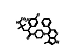 Cc1c[nH]c2ncc(-c3ccccc3)c(N3CCN(C(=O)C(CC(C)(C)NC(=O)O)c4ccc(Cl)cc4)CC3)c12